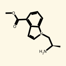 COC(=O)c1cccc2c1ccn2C[C@@H](C)N